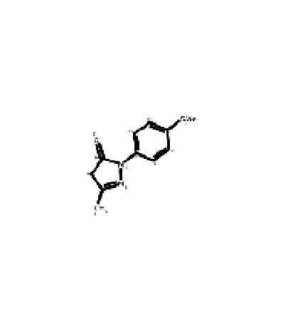 CSc1ccc(N2N=C(C)CC2=O)cc1